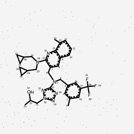 Cc1cc(CN(Cc2cc3cccc(C)c3nc2N(CC2CC2)CC2CC2)c2nnn(CC(C)O)n2)cc(C(F)(F)F)c1